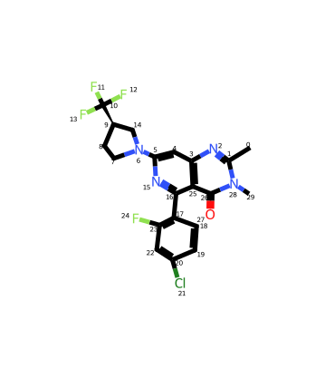 Cc1nc2cc(N3CC[C@@H](C(F)(F)F)C3)nc(-c3ccc(Cl)cc3F)c2c(=O)n1C